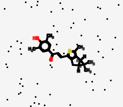 Cc1cc(C(=O)C=Cc2sc(C)c3c2C[C@@H]2[C@H]3C2(C)C)cc(C)c1O